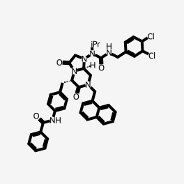 CC(C)N(C(=O)NCC1=CC(Cl)C(Cl)C=C1)N1CC(=O)N2[C@@H](Cc3ccc(NC(=O)c4ccccc4)cc3)C(=O)N(Cc3cccc4ccccc34)C[C@@H]21